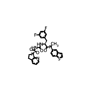 CN(C(=O)[C@H](Cc1cc(F)cc(F)c1)NC(=O)NS(=O)(=O)N1CCc2cccnc21)c1ccc2sccc2c1